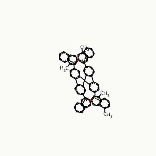 Cc1cccc(N(c2ccccc2)c2ccc3c(c2)C2(c4cc(N(c5ccccc5)c5cccc(C)c5)ccc4-3)c3cc(N(c4ccccc4)c4cccc(C)c4)ccc3-c3ccc(N(c4ccccc4)c4cccc(C)c4)cc32)c1